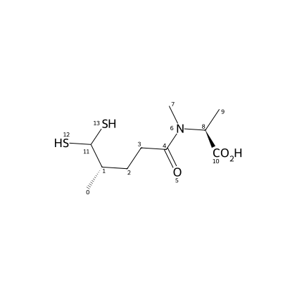 C[C@@H](CCC(=O)N(C)[C@@H](C)C(=O)O)C(S)S